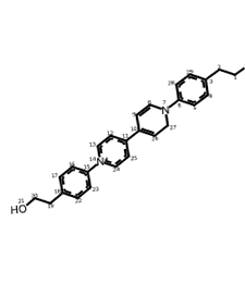 OCCc1ccc(N2C=CC(c3cc[n+](-c4ccc(CCO)cc4)cc3)=CC2)cc1